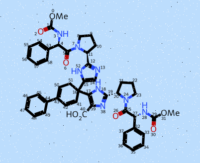 COC(=O)N[C@@H](C(=O)N1CCC[C@H]1c1ncc(C2(c3[nH]c([C@@H]4CCCN4C(=O)[C@H](NC(=O)OC)c4ccccc4)nc3C(=O)O)C=CC(c3ccccc3)=CC2)[nH]1)c1ccccc1